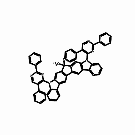 CC1(C)c2cc3c(cc2-c2cc4c5ccccc5n(-c5nc(-c6ccccc6)ncc5-c5ccccc5)c4cc21)c1ccccc1n3-c1nc(-c2ccccc2)ncc1-c1ccccc1